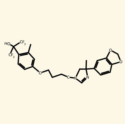 Cc1cc(OCCCCN2C=NC(C)(c3ccc4c(c3)OCO4)C2)ccc1C(O)(C(F)(F)F)C(F)(F)F